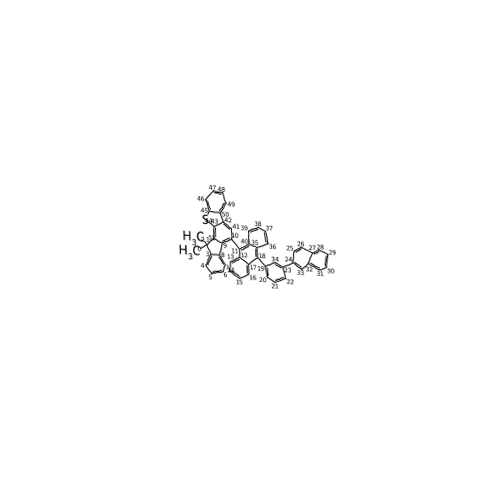 CC1(C)c2ccccc2-c2c(-c3c4ccccc4c(-c4cccc(-c5ccc6ccccc6c5)c4)c4ccccc34)cc3c(sc4ccccc43)c21